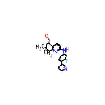 CC1(C)Cc2nc(Nc3ccc(-c4cccnc4)c(F)c3)ccc2C(C=O)C1